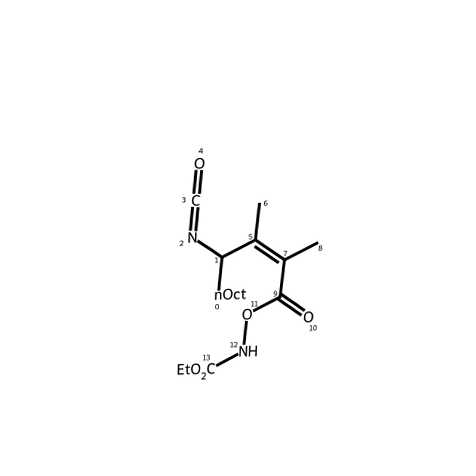 CCCCCCCCC(N=C=O)C(C)=C(C)C(=O)ONC(=O)OCC